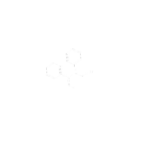 CC[SiH](c1ccccc1)[SiH](CC)c1ccccc1